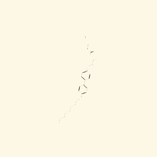 CCCCCCCCOc1ccc(-c2ccc(OCC(C)OC(=O)CCOCC)cc2)cc1